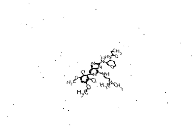 C=CC(=O)N[C@H]1CCOC[C@H]1Nc1ncc2cc(-c3c(Cl)c(OC)cc(OC)c3Cl)nc(NCCN(C)C)c2n1